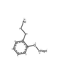 CCCCCCCOc1ccccc1CCC(C)=O